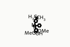 COc1cc(-n2cnc(-c3ccc(N(C)C)cc3)c2-c2ccccc2)cc(OC)c1O